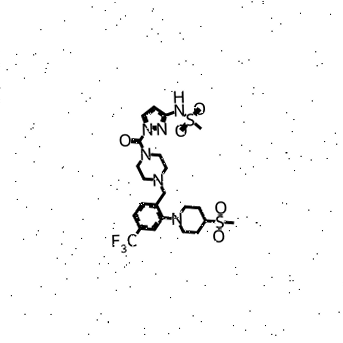 CS(=O)(=O)Nc1ccn(C(=O)N2CCN(Cc3ccc(C(F)(F)F)cc3N3CCC(S(C)(=O)=O)CC3)CC2)n1